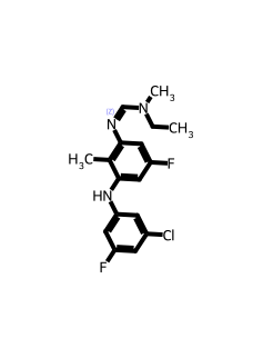 CCN(C)/C=N\c1cc(F)cc(Nc2cc(F)cc(Cl)c2)c1C